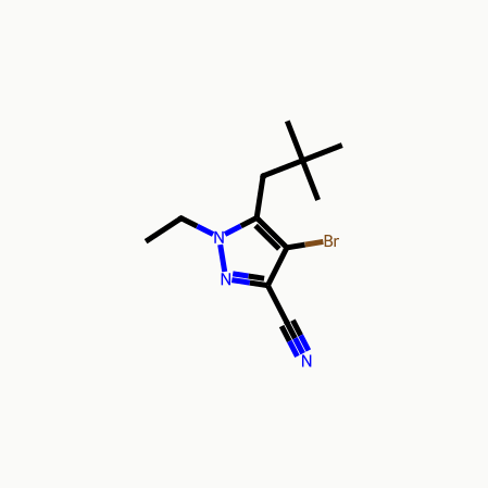 CCn1nc(C#N)c(Br)c1CC(C)(C)C